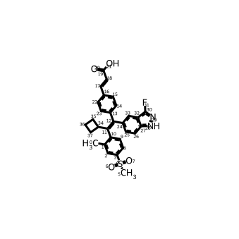 Cc1cc(S(C)(=O)=O)ccc1C(=C(c1ccc(C=CC(=O)O)cc1)c1ccc2[nH]nc(F)c2c1)C1CCC1